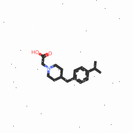 CC(C)c1ccc(CC2CCN(CC(=O)O)CC2)cc1